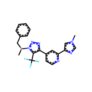 CB(Cc1ccccc1)n1nnc(-c2ccnc(-c3cn(C)cn3)c2)c1C(F)(F)F